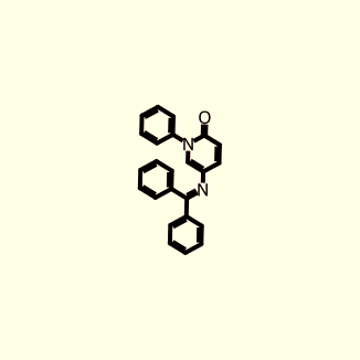 O=c1ccc(N=C(c2ccccc2)c2ccccc2)cn1-c1ccccc1